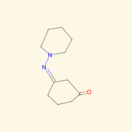 O=C1CCCC(=NN2CCCCC2)C1